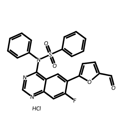 Cl.O=Cc1ccc(-c2cc3c(N(c4ccccc4)S(=O)(=O)c4ccccc4)ncnc3cc2F)o1